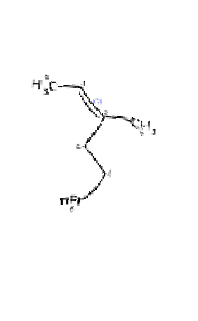 C/[C]=C(/C)CCCCC